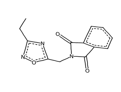 CCc1noc(CN2C(=O)c3ccccc3C2=O)n1